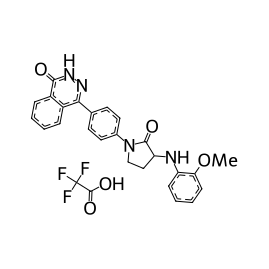 COc1ccccc1NC1CCN(c2ccc(-c3n[nH]c(=O)c4ccccc34)cc2)C1=O.O=C(O)C(F)(F)F